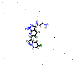 CN(C)CCN(C)c1n[nH]c2nc(-c3cnn4ccc(F)cc34)c(F)cc12